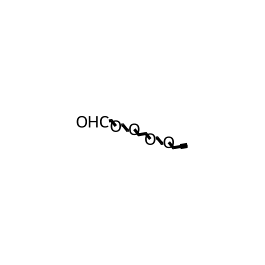 C#CCOCCOCCOCCOCC=O